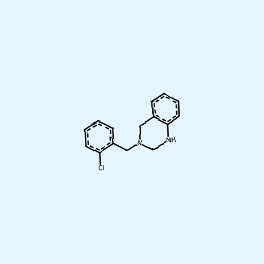 Clc1ccccc1CN1CNc2ccccc2C1